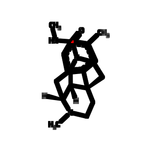 CNC(=O)N1CC[C@]23CCN(C)[C@H](Cc4ccc(C)cc42)[C@@H]3C1